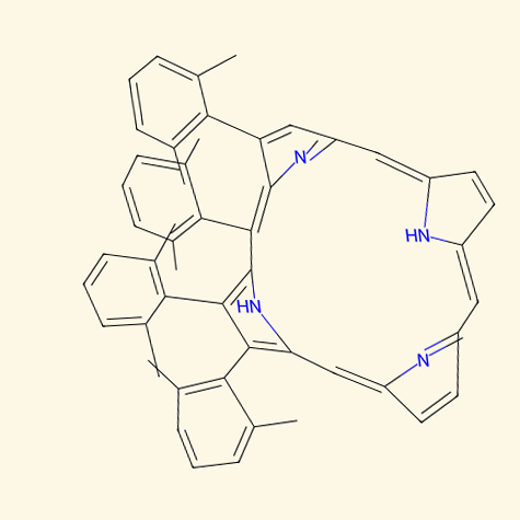 Cc1cccc(C)c1C1=Cc2cc3ccc(cc4nc(cc5[nH]c(c(-c6c(C)cccc6C)c1n2)c(-c1c(C)cccc1C)c5-c1c(C)cccc1C)C=C4)[nH]3